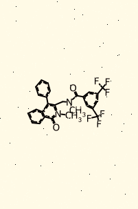 CN(Cc1c(-c2ccccc2)c2ccccc2c(=O)n1C)C(=O)c1cc(C(F)(F)F)cc(C(F)(F)F)c1